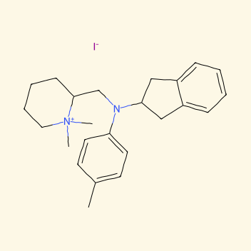 Cc1ccc(N(CC2CCCC[N+]2(C)C)C2Cc3ccccc3C2)cc1.[I-]